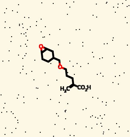 C=C(CCCOCC1CCC2OC2C1)C(=O)O